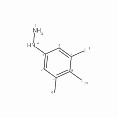 Cc1cc(NN)cc(I)c1I